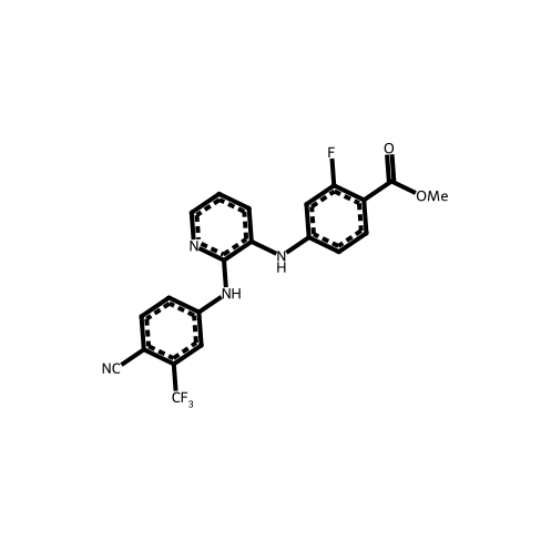 COC(=O)c1ccc(Nc2cccnc2Nc2ccc(C#N)c(C(F)(F)F)c2)cc1F